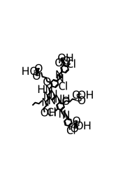 CCCCN(CCO)c1nc(Nc2cc(Cl)c(N=Nc3ccc(Cl)c(S(=O)(=O)O)c3)cc2OCCCS(=O)(=O)O)nc(Nc2cc(Cl)c(N=Nc3ccc(Cl)c(S(=O)(=O)O)c3)cc2OCCCS(=O)(=O)O)n1